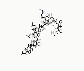 C/C=C\C[C@@H](C)[C@H](O)C(C(=O)N[C@@H](CC)C(=O)N(C)CC(=O)N(C)[C@H](C)C(N)=O)N(C)C(=O)[C@H](C(C)C)N(C)C(=O)[C@@H](CC(C)C)N(C)C(=O)[C@H](CC(C)C)N(C)C(=O)[C@H](C)NC(=O)[C@@H](C)NC(=O)CN(C)C(=O)[C@H](C)C(C)C